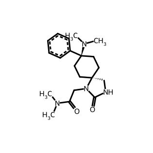 CN(C)C(=O)CN1C(=O)NC[C@]12CC[C@](c1ccccc1)(N(C)C)CC2